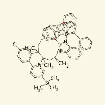 C=C1CC2(C)[n+]3cc([Si](C)(C)C)ccc3-c3ccc(F)cc3C2(C)CCc2ccc3c(oc4ccccc43)c2-c2n(-c3c(-c4ccccc4)cccc3-c3ccccc3)c3ccccc3[n+]21